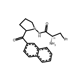 CC(C)C[C@H](N)C(=O)NN1CCCC1C(=O)c1ccc2ccccc2c1